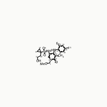 COCn1cc(NS(=O)(=O)C2(CCO)CC2)c(Nc2ccc(I)cc2F)c(C)c1=O